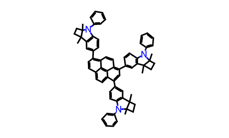 CC12CCC1(C)N(c1ccccc1)c1ccc(-c3ccc4ccc5c(-c6ccc7c(c6)C6(C)CCC6(C)N7c6ccccc6)cc(-c6ccc7c(c6)C6(C)CCC6(C)N7c6ccccc6)c6ccc3c4c56)cc12